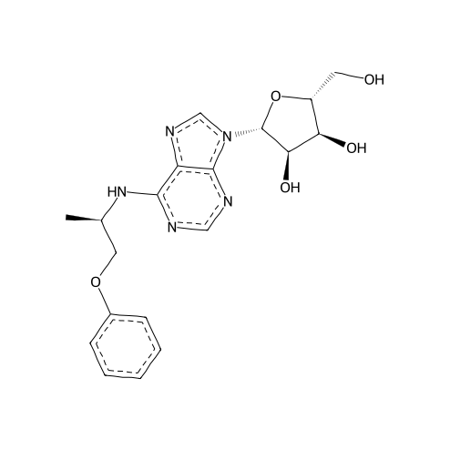 C[C@H](COc1ccccc1)Nc1ncnc2c1ncn2[C@@H]1O[C@H](CO)[C@@H](O)[C@H]1O